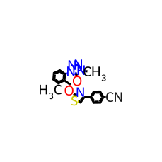 Cc1cccc(-n2nnn(C)c2=O)c1COc1nc(-c2ccc(C#N)cc2)cs1